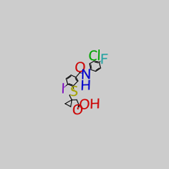 O=C(O)CC1(CSc2cc(C(=O)Nc3ccc(F)c(Cl)c3)ccc2I)CC1